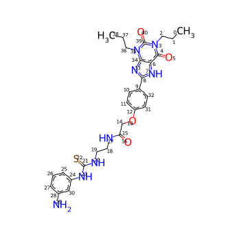 CCCn1c(=O)c2[nH]c(-c3ccc(OCC(=O)NCCNC(=S)Nc4cccc(N)c4)cc3)nc2n(CCC)c1=O